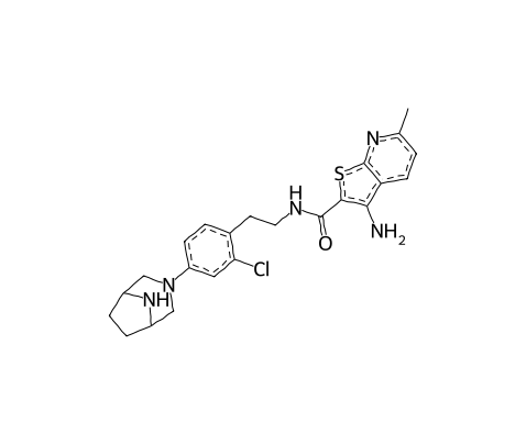 Cc1ccc2c(N)c(C(=O)NCCc3ccc(N4CC5CCC(C4)N5)cc3Cl)sc2n1